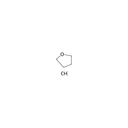 C1CCOC1.[CH]